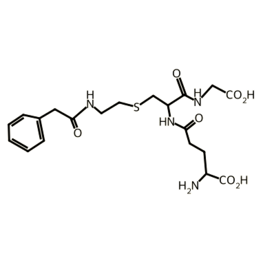 NC(CCC(=O)NC(CSCCNC(=O)Cc1ccccc1)C(=O)NCC(=O)O)C(=O)O